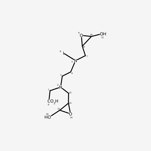 O=C(O)CN(CCN(I)CC1OC1O)CC1OC1O